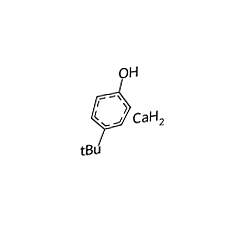 CC(C)(C)c1ccc(O)cc1.[CaH2]